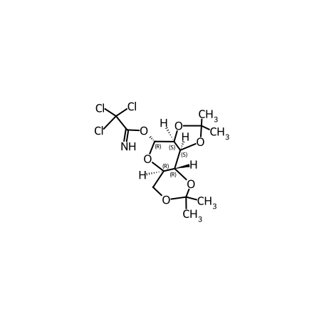 CC1(C)O[C@@H]2[C@H](O1)[C@@H](OC(=N)C(Cl)(Cl)Cl)O[C@@H]1COC(C)(C)O[C@@H]21